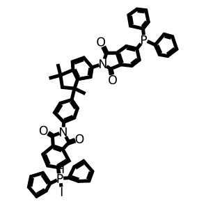 CC1(C)CC(C)(c2ccc(N3C(=O)c4ccc([PH](I)(c5ccccc5)c5ccccc5)cc4C3=O)cc2)c2cc(N3C(=O)c4ccc(P(c5ccccc5)c5ccccc5)cc4C3=O)ccc21